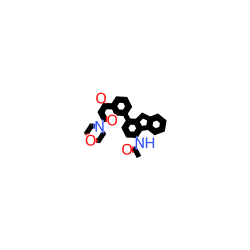 CC(=O)Nc1ccc(-c2cccc3c(=O)cc(N4CCOCC4)oc23)c2c1-c1ccccc1C2